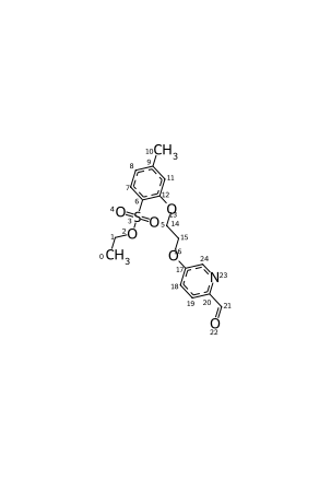 CCOS(=O)(=O)c1ccc(C)cc1OCCOc1ccc(C=O)nc1